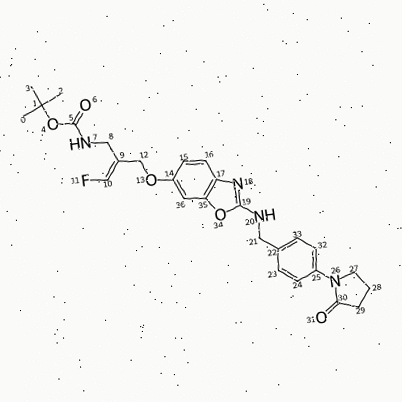 CC(C)(C)OC(=O)NCC(=CF)COc1ccc2nc(NCc3ccc(N4CCCC4=O)cc3)oc2c1